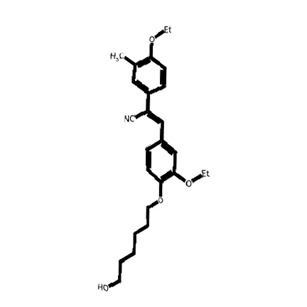 CCOc1ccc(/C(C#N)=C/c2ccc(OCCCCCCO)c(OCC)c2)cc1C